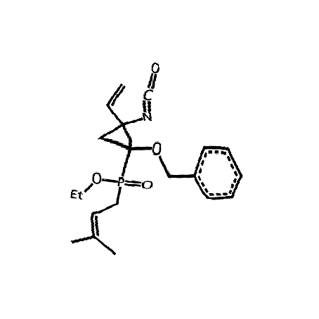 C=CC1(N=C=O)CC1(OCc1ccccc1)P(=O)(CC=C(C)C)OCC